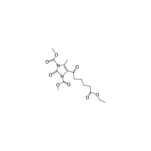 CCOC(=O)CCCCC(=O)c1c(C)n(C(=O)OC)c(=O)n1C(=O)OC